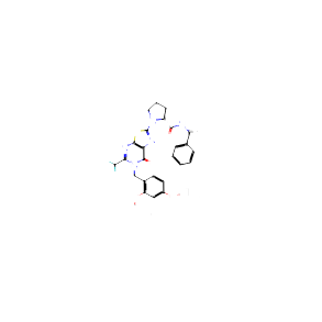 COc1ccc(Cn2c(C(F)F)nc3sc(N4CCC[C@@H]4C(=O)N[C@H](C)c4ccccc4)nc3c2=O)c(OC)c1